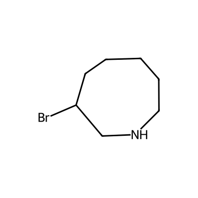 BrC1CCCCCNC1